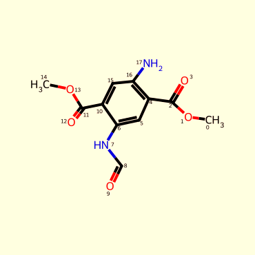 COC(=O)c1cc(NC=O)c(C(=O)OC)cc1N